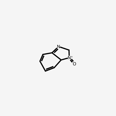 O=[N+]1CN=C2C=CC=CC21